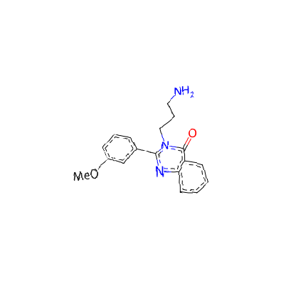 COc1cccc(-c2nc3ccccc3c(=O)n2CCCN)c1